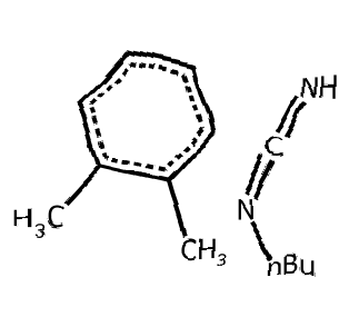 CCCCN=C=N.Cc1ccccc1C